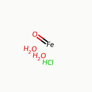 Cl.O.O.[O]=[Fe]